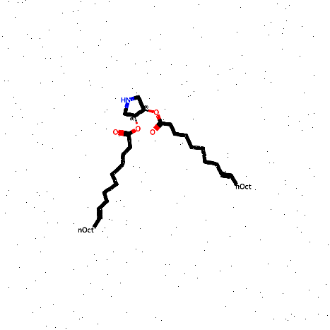 CCCCCCCCC=CCCCCCCCC(=O)O[C@@H]1CNC[C@H]1OC(=O)CCCCCCCC=CCCCCCCCC